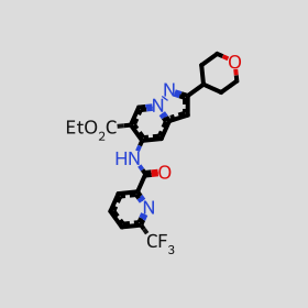 CCOC(=O)c1cn2nc(C3CCOCC3)cc2cc1NC(=O)c1cccc(C(F)(F)F)n1